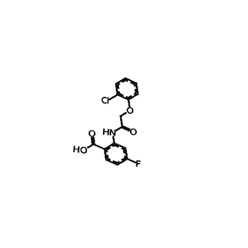 O=C(COc1ccccc1Cl)Nc1cc(F)ccc1C(=O)O